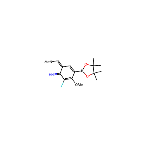 CN/C=C1/C=C(B2OC(C)(C)C(C)(C)O2)C(OC)=C(F)C1=N